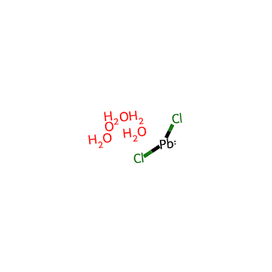 O.O.O.O.[Cl][Pb][Cl]